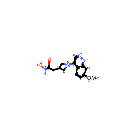 COc1ccc2c(N3CC(CC(=O)NO)C3)cnnc2c1